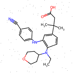 CCN(c1ccc(C(C)(C)CC(=O)O)cc1Nc1ccc(C#N)cc1)C1CCOCC1